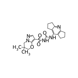 CC1(C)COc2c(S(=O)(=O)NC(=O)Nc3c4c(nc5c3CCC5)CCC4)cnn2C1